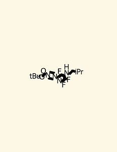 CC(C)CCNc1c(F)c(F)nc(N2CCN(C(=O)OC(C)(C)C)CC2)c1F